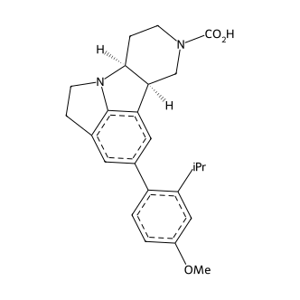 COc1ccc(-c2cc3c4c(c2)[C@@H]2CN(C(=O)O)CC[C@@H]2N4CC3)c(C(C)C)c1